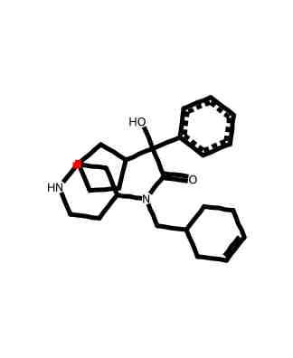 O=C(N(CC1CC=CCC1)C1CCNCC1)C(O)(c1ccccc1)C1CCCC1